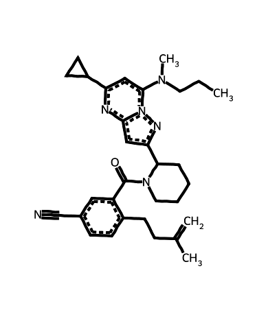 C=C(C)CCc1ccc(C#N)cc1C(=O)N1CCCCC1c1cc2nc(C3CC3)cc(N(C)CCC)n2n1